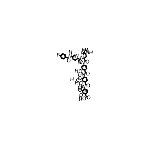 COc1c(NC(=O)c2ccc(NC(=O)c3ccc(NC(=O)C(Cc4cnn[nH]4)NC(=O)c4ccc(NC(=O)c5ccc(F)cc5)cn4)cc3O)c(OC)c2O)ccc(C(=O)O)c1O